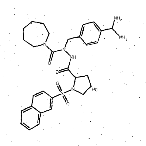 Cl.NC(N)c1ccc(CN(NC(=O)C2CCCN2S(=O)(=O)c2ccc3ccccc3c2)C(=O)N2CCCCCC2)cc1